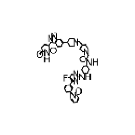 Cn1nc(C2CCC(=O)NC2=O)c2ccc(C3CCN(CC4CCN(CC(=O)N[C@H]5CC[C@H](Nc6ncc(F)c(-c7cccc(-n8ccccc8=O)c7)n6)CC5)CC4)CC3)cc21